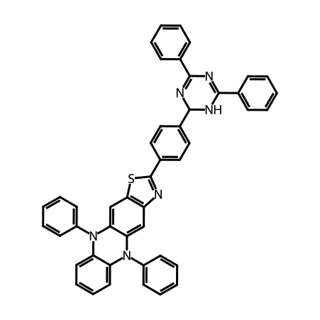 c1ccc(C2=NC(c3ccc(-c4nc5cc6c(cc5s4)N(c4ccccc4)c4ccccc4N6c4ccccc4)cc3)NC(c3ccccc3)=N2)cc1